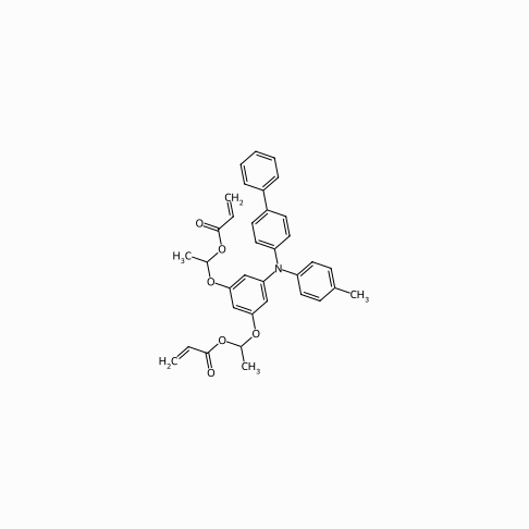 C=CC(=O)OC(C)Oc1cc(OC(C)OC(=O)C=C)cc(N(c2ccc(C)cc2)c2ccc(-c3ccccc3)cc2)c1